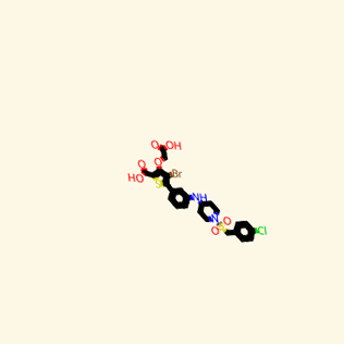 O=C(O)COc1c(C(=O)O)sc(-c2cccc(NC3CCN(S(=O)(=O)Cc4ccc(Cl)cc4)CC3)c2)c1Br